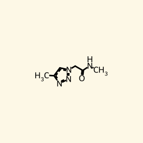 CNC(=O)Cn1cc(C)nn1